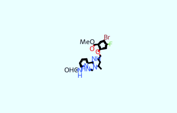 COC(=O)c1cc(Br)c(F)cc1OCCCC(C)N(C=N)C(=N)c1cccc(NC=O)n1